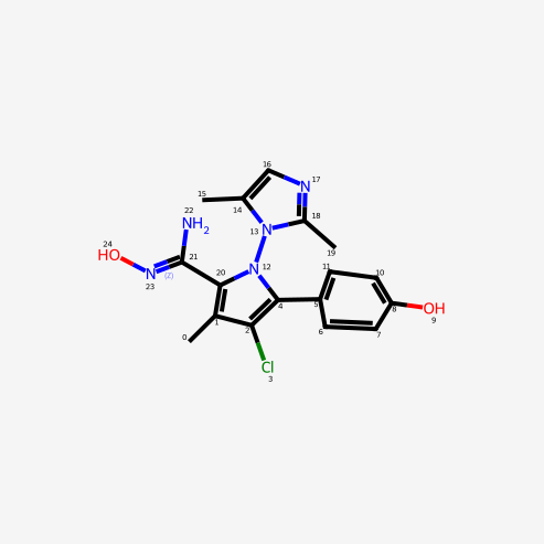 Cc1c(Cl)c(-c2ccc(O)cc2)n(-n2c(C)cnc2C)c1/C(N)=N/O